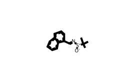 CC(C)(C)[S+]([O-])/N=C/c1cccc2ccccc12